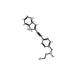 CN(CCF)Cc1ccc(C#Cc2cc3ncccc3[nH]2)cc1